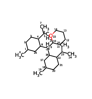 CC1CCC(C(C)C)C([SiH](C2CCCCO2)C2CC(C)CCC2C(C)C)C1